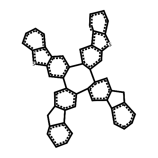 c1ccc2c(c1)Cc1cc3c(cc1-2)-c1cc2c(cc1-c1cc4sc5ccccc5c4cc1-c1cc4c(cc1-3)sc1ccccc14)Cc1ccccc1-2